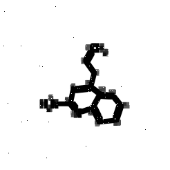 C=CCc1cc(N)nc2ccccc12